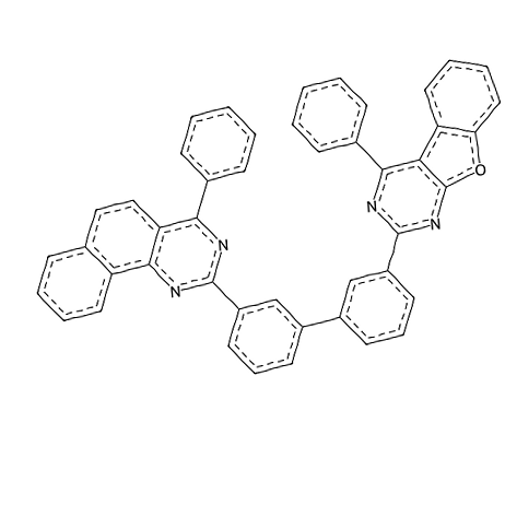 c1ccc(-c2nc(-c3cccc(-c4cccc(-c5nc(-c6ccccc6)c6c(n5)oc5ccccc56)c4)c3)nc3c2ccc2ccccc23)cc1